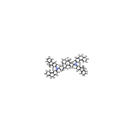 Cc1c2c3c(cccc3c3cc(N(c4ccc5c(c4)C(C)(C)c4ccccc4-5)c4ccc5ccc6ccccc6c5c4)ccc13)C(C)(C)c1cc(N(c3ccc4c(c3)C(C)(C)c3ccccc3-4)c3ccc4ccc5ccccc5c4c3)ccc1-2